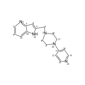 c1cnc2cc(CN3CCN(c4ccncc4)CC3)[nH]c2c1